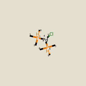 C[PH](C)(C)[Pd]([Cl])[PH](C)(C)C